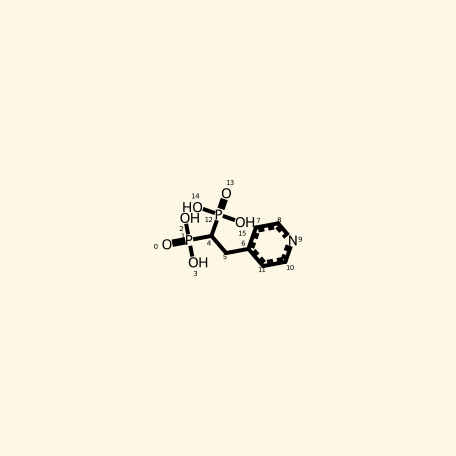 O=P(O)(O)C(Cc1ccncc1)P(=O)(O)O